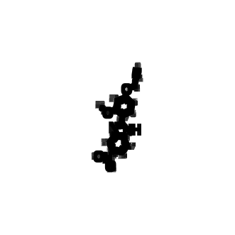 C#CCOc1ccc(-c2nc3cc([N+](=O)[O-])ccc3[nH]2)c(OC)c1